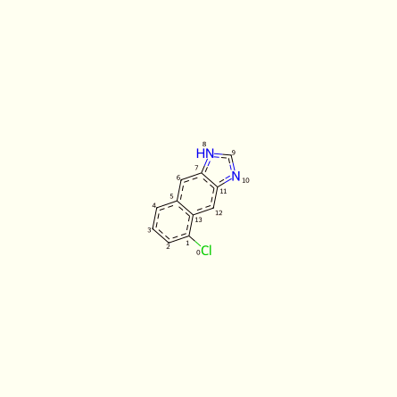 Clc1cccc2cc3[nH]cnc3cc12